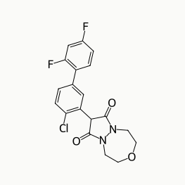 O=C1C(c2cc(-c3ccc(F)cc3F)ccc2Cl)C(=O)N2CCOCCN12